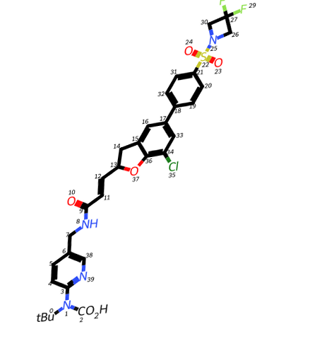 CC(C)(C)N(C(=O)O)c1ccc(CNC(=O)/C=C/C2Cc3cc(-c4ccc(S(=O)(=O)N5CC(F)(F)C5)cc4)cc(Cl)c3O2)cn1